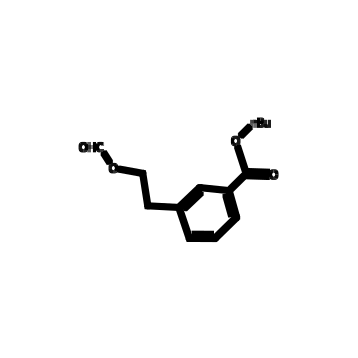 CCCCOC(=O)c1cccc(CCOC=O)c1